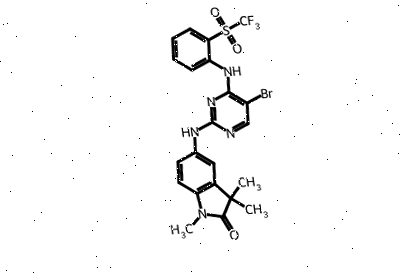 CN1C(=O)C(C)(C)c2cc(Nc3ncc(Br)c(Nc4ccccc4S(=O)(=O)C(F)(F)F)n3)ccc21